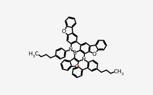 CCCCc1ccc(N2B3c4c(cc5c(oc6ccccc65)c4N(c4ccc(CCCC)cc4-c4ccccc4)c4oc5ccccc5c43)-c3cc4c(cc32)oc2ccccc24)cc1